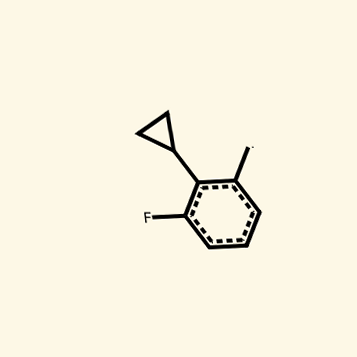 [CH2]c1cccc(F)c1C1CC1